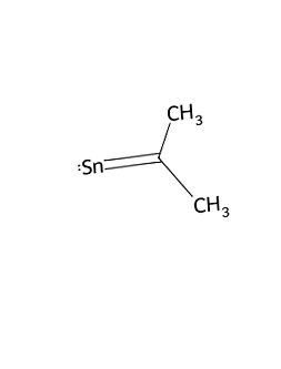 C[C](C)=[Sn]